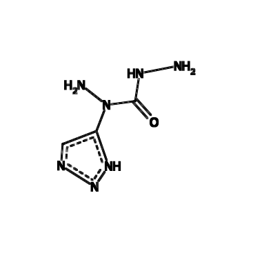 NNC(=O)N(N)c1cnn[nH]1